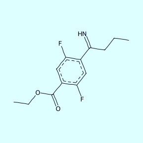 CCCC(=N)c1cc(F)c(C(=O)OCC)cc1F